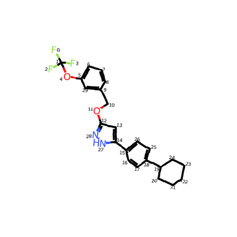 FC(F)(F)Oc1cccc(COc2cc(-c3ccc(C4CC[CH]CC4)cc3)[nH]n2)c1